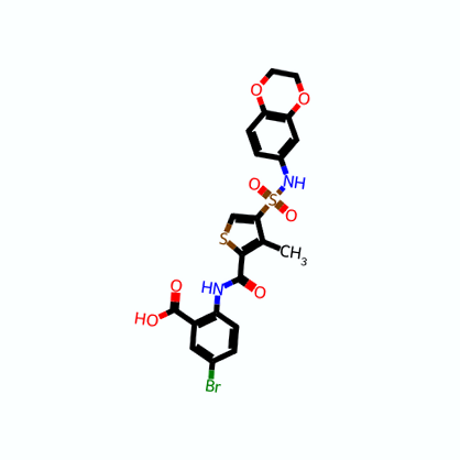 Cc1c(S(=O)(=O)Nc2ccc3c(c2)OCCO3)csc1C(=O)Nc1ccc(Br)cc1C(=O)O